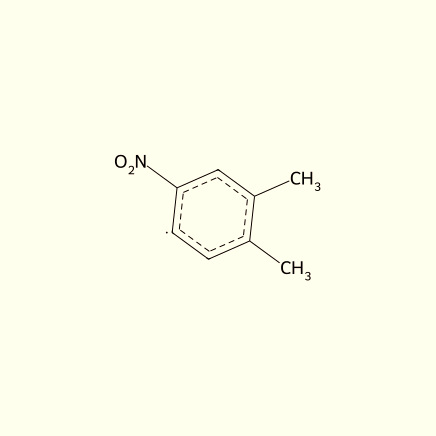 Cc1c[c]c([N+](=O)[O-])cc1C